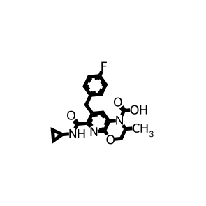 CC1COc2nc(C(=O)NC3CC3)c(Cc3ccc(F)cc3)cc2N1C(=O)O